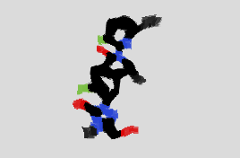 CCn1c(CO)nn(-c2cc3c(C(C)C)cn(-c4nc(OC)ccc4F)c(=O)c3cc2F)c1=O